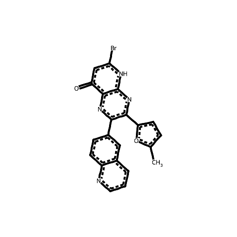 Cc1ccc(-c2nc3[nH]c(Br)cc(=O)c3nc2-c2ccc3ncccc3c2)o1